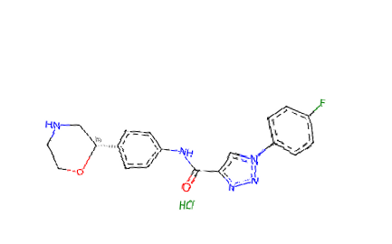 Cl.O=C(Nc1ccc([C@H]2CNCCO2)cc1)c1cn(-c2ccc(F)cc2)nn1